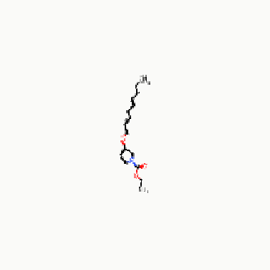 CCCCCCCCCOC1CCN(C(=O)OCC)C1